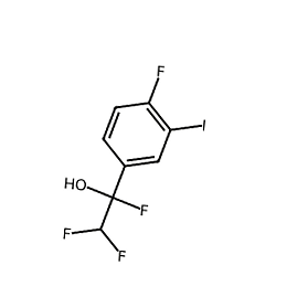 OC(F)(c1ccc(F)c(I)c1)C(F)F